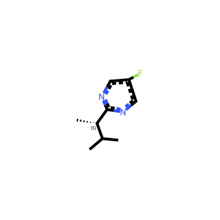 CC(C)[C@H](C)c1ncc(F)cn1